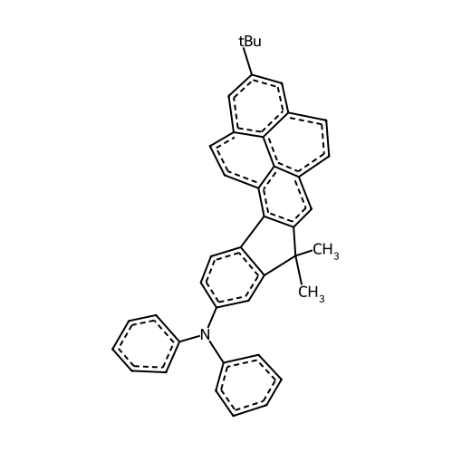 CC(C)(C)c1cc2ccc3cc4c(c5ccc(c1)c2c35)-c1ccc(N(c2ccccc2)c2ccccc2)cc1C4(C)C